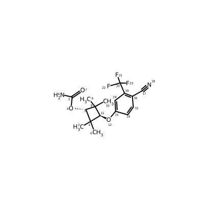 CC1(C)[C@H](OC(N)=O)C(C)(C)[C@H]1Oc1ccc(C#N)c(C(F)(F)F)c1